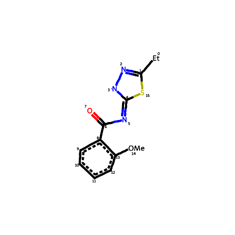 CCC1=N[N]C(=NC(=O)c2ccccc2OC)S1